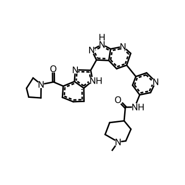 CN1CCC(C(=O)Nc2cncc(-c3cnc4[nH]nc(-c5nc6c(C(=O)N7CCCC7)cccc6[nH]5)c4c3)c2)CC1